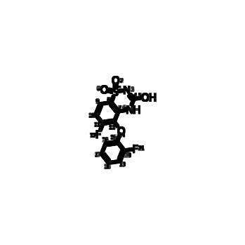 O=S1(=O)N=C(O)Nc2c1ccc(F)c2Oc1ccccc1F